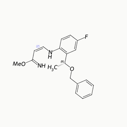 COC(=N)/C=C\Nc1ccc(F)cc1[C@@H](C)OCc1ccccc1